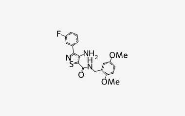 COc1ccc(OC)c(CNC(=O)c2snc(-c3cccc(F)c3)c2N)c1